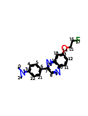 CN(C)c1ccc(-c2cnc3ccc(OCCF)cc3n2)cc1